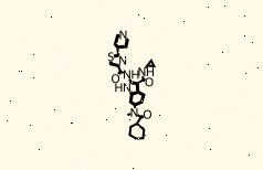 CN(C(=O)C1CCCCC1)c1ccc2c(C(=O)NC3CC3)c(NC(=O)c3csc(-c4ccncc4)n3)[nH]c2c1